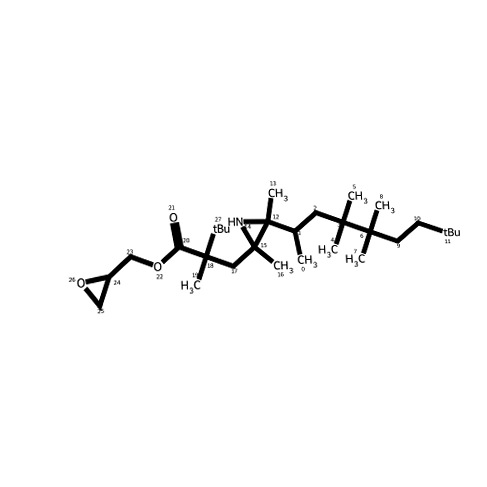 CC(CC(C)(C)C(C)(C)CCC(C)(C)C)C1(C)NC1(C)CC(C)(C(=O)OCC1CO1)C(C)(C)C